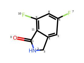 O=C1NCc2cc(F)cc(F)c21